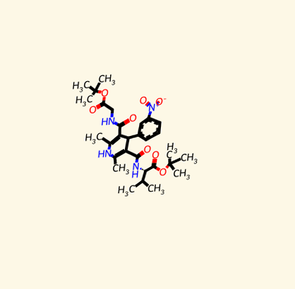 CC1=C(C(=O)NCC(=O)OC(C)(C)C)C(c2cccc([N+](=O)[O-])c2)C(C(=O)N[C@H](C(=O)OC(C)(C)C)C(C)C)=C(C)N1